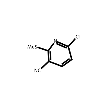 CSc1nc(Cl)ccc1C#N